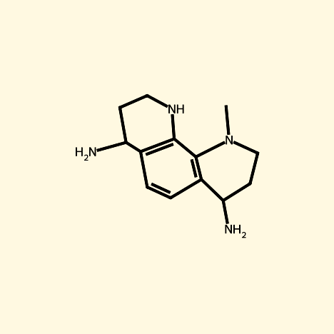 CN1CCC(N)c2ccc3c(c21)NCCC3N